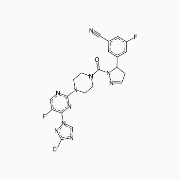 N#Cc1cc(F)cc(C2CC=NN2C(=O)N2CCN(c3ncc(F)c(-n4cnc(Cl)n4)n3)CC2)c1